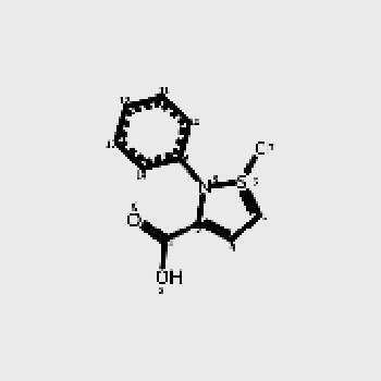 O=C(O)C1=CC=S(Cl)N1c1ccccc1